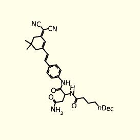 CCCCCCCCCCCCCC(=O)NC(CC(N)=O)C(=O)Nc1ccc(/C=C/C2=CC(=C(C#N)C#N)CC(C)(C)C2)cc1